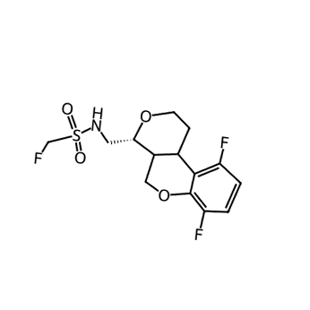 O=S(=O)(CF)NC[C@@H]1OCCC2c3c(F)ccc(F)c3OCC21